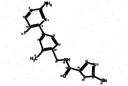 Cc1cc(-c2nc(N)ncc2F)ccc1CNC(=O)c1cnc(C(C)(C)C)s1